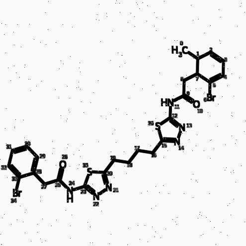 CC1C=CC=C(Br)C1CC(=O)Nc1nnc(CCCCc2nnc(NC(=O)Cc3ccccc3Br)s2)s1